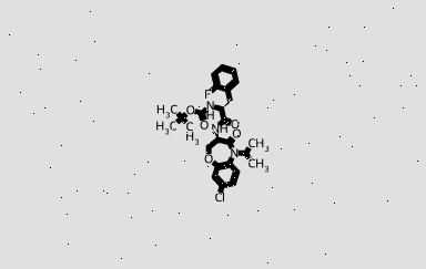 CC(C)N1C(=O)[C@H](NC(=O)[C@@H](Cc2ccccc2F)NC(=O)OC(C)(C)C)COc2cc(Cl)ccc21